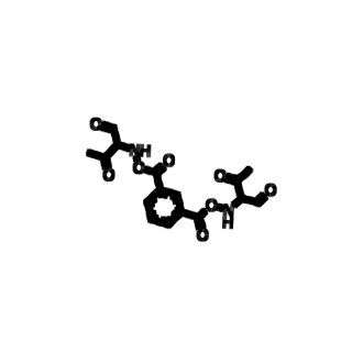 CC(=O)C(C=O)NOC(=O)c1cccc(C(=O)ONC(C=O)C(C)=O)c1